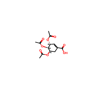 CC(=O)O[C@H]1[C@H](OC(C)=O)C=C(C(=O)O)C[C@H]1OC(C)=O